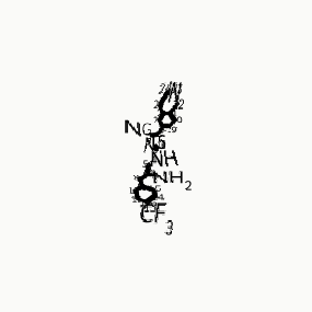 N#Cc1nc(NC[C@@H](N)Cc2ccc(C(F)(F)F)cc2)sc1-c1ccc2cnccc2c1